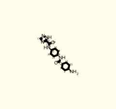 N[C@H]1CC[C@H](C(=O)N[C@H]2CC[C@H](NC(=O)c3ncn[nH]3)CC2)CC1